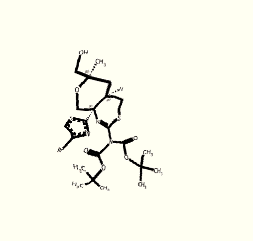 CC(C)(C)OC(=O)N(C(=O)OC(C)(C)C)C1=N[C@@]2(c3nc(Br)cs3)CO[C@@](C)(CO)C[C@H]2CS1